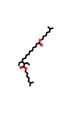 CCC(CCCCCCCCCC(=O)OCCCCCC(C)C)C(CC)C(=O)OCCCCCC(C)C